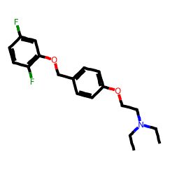 CCN(CC)CCOc1ccc(COc2cc(F)ccc2F)cc1